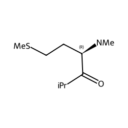 CN[C@H](CCSC)C(=O)C(C)C